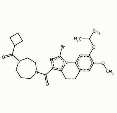 COc1cc2c(cc1OC(C)C)-n1c(Br)nc(C(=O)N3CCCN(C(=O)C4CCC4)CC3)c1CC2